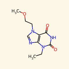 CCn1c(=O)[nH]c(=O)c2c1ncn2CCOC